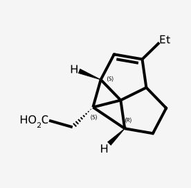 CCC1=C[C@@H]2C34C1CC[C@@H]3[C@@]24CC(=O)O